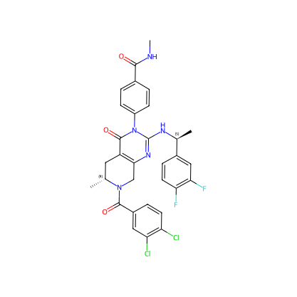 CNC(=O)c1ccc(-n2c(N[C@@H](C)c3ccc(F)c(F)c3)nc3c(c2=O)C[C@@H](C)N(C(=O)c2ccc(Cl)c(Cl)c2)C3)cc1